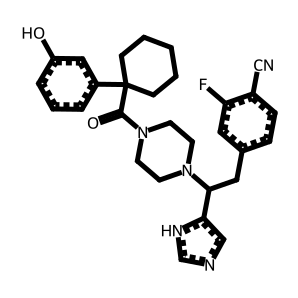 N#Cc1ccc(CC(c2cnc[nH]2)N2CCN(C(=O)C3(c4cccc(O)c4)CCCCC3)CC2)cc1F